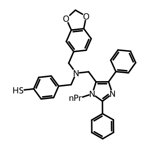 CCCn1c(-c2ccccc2)nc(-c2ccccc2)c1CN(Cc1ccc(S)cc1)Cc1ccc2c(c1)OCO2